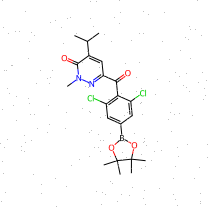 CC(C)c1cc(C(=O)c2c(Cl)cc(B3OC(C)(C)C(C)(C)O3)cc2Cl)nn(C)c1=O